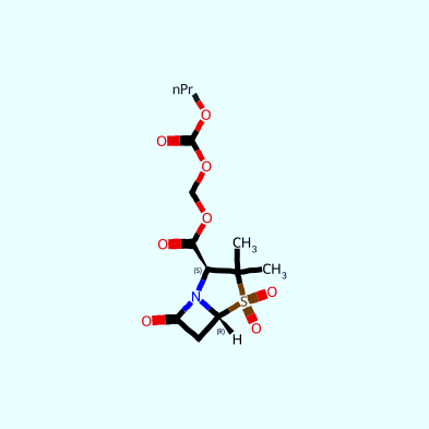 CCCOC(=O)OCOC(=O)[C@@H]1N2C(=O)C[C@H]2S(=O)(=O)C1(C)C